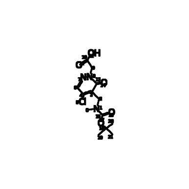 CN(Cc1c(Cl)cnn(CC(=O)O)c1=O)C(=O)OC(C)(C)C